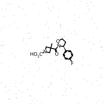 CC1(C(=O)N2OCC[C@H]2c2ccc(F)cc2)CN(C(=O)O)C1